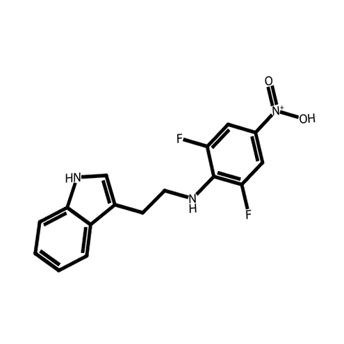 O=[N+](O)c1cc(F)c(NCCc2c[nH]c3ccccc23)c(F)c1